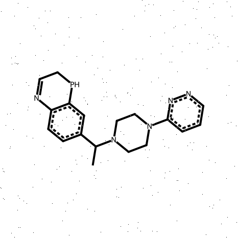 CC(c1ccc2c(c1)PCC=N2)N1CCN(c2cccnn2)CC1